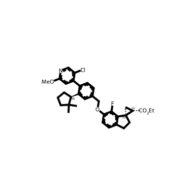 CCOC(=O)[C@H]1C[C@@]12CCc1ccc(OCc3ccc(-c4cc(OC)ncc4Cl)c([C@@H]4CCCC4(C)C)c3)c(F)c12